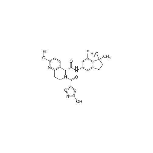 CCOc1ccc2c(n1)CCN(C(=O)c1cc(O)no1)[C@H]2C(=O)Nc1cc(F)c2c(c1)CCC2(C)C